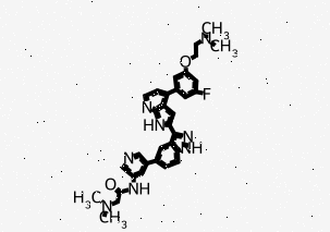 CN(C)CCOc1cc(F)cc(-c2ccnc3[nH]c(-c4n[nH]c5ccc(-c6cncc(NC(=O)CN(C)C)c6)cc45)cc23)c1